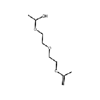 C=C(C)OCCOCCOC(C)O